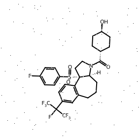 O=C([C@H]1CC[C@H](O)CC1)N1CC[C@]2(S(=O)(=O)c3ccc(F)cc3)c3ccc(C(F)(C(F)(F)F)C(F)(F)F)cc3CCC[C@H]12